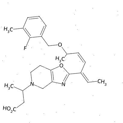 C/C=C(\C=C/C(C)OCc1cccc(C)c1F)c1nc2c(o1)CCN(C(C)CC(=O)O)C2